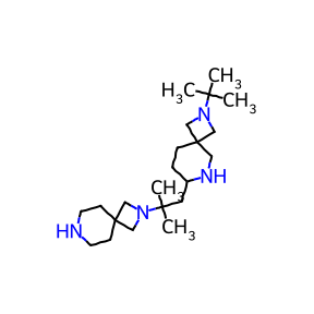 CC(C)(C)N1CC2(CCC(CC(C)(C)N3CC4(CCNCC4)C3)NC2)C1